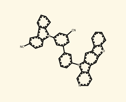 N#Cc1cc(-c2cccc(-n3c4cnccc4c4cc5oc6ccccc6c5cc43)c2)cc(-n2c3ccccc3c3cc(C#N)ccc32)c1